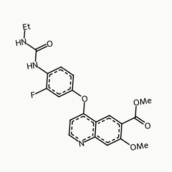 CCNC(=O)Nc1ccc(Oc2ccnc3cc(OC)c(C(=O)OC)cc23)cc1F